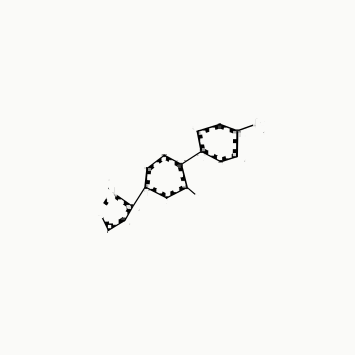 Cc1cc(-c2ccon2)ccc1-c1ccc(Br)cc1